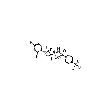 O=S(=O)(Cl)c1ccc(S(=O)(=O)NS(=O)(=O)C(F)(F)C(F)(F)Sc2ccc(F)cc2F)cc1